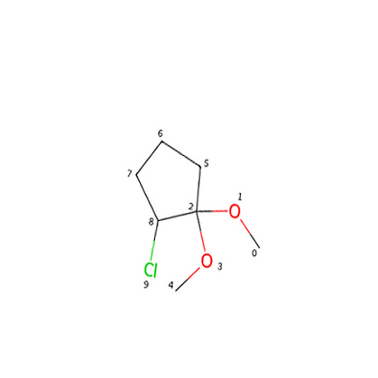 COC1(OC)CCCC1Cl